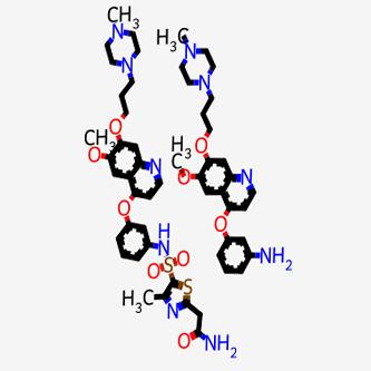 COc1cc2c(Oc3cccc(N)c3)ccnc2cc1OCCCN1CCN(C)CC1.COc1cc2c(Oc3cccc(NS(=O)(=O)c4sc(CC(N)=O)nc4C)c3)ccnc2cc1OCCCN1CCN(C)CC1